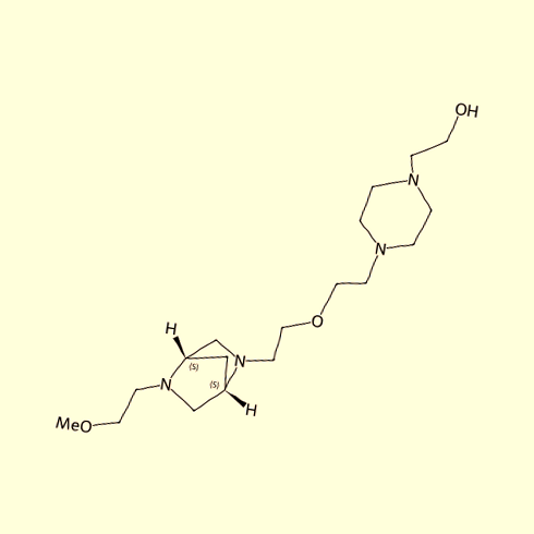 COCCN1C[C@@H]2C[C@H]1CN2CCOCCN1CCN(CCO)CC1